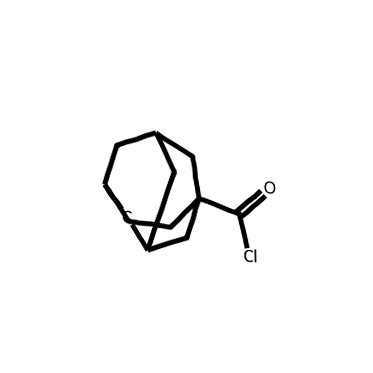 O=C(Cl)C12CCC3CC(CC(C3)C1)C2